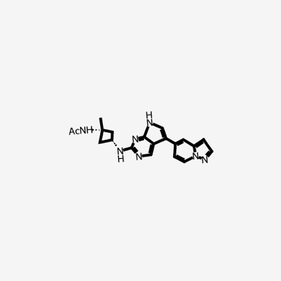 CC(=O)N[C@]1(C)C[C@H](Nc2ncc3c(-c4ccn5nccc5c4)c[nH]c3n2)C1